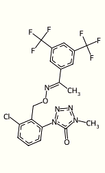 CC(=NOCc1c(Cl)cccc1-n1nnn(C)c1=O)c1cc(C(F)(F)F)cc(C(F)(F)F)c1